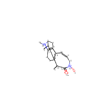 CC1C2CC3=C(CCC4=C3/C=C\C[N+](=O)C(=O)C41C)N2C